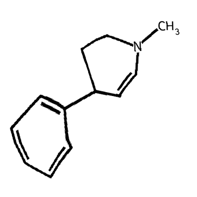 CN1C=CC(c2ccccc2)CC1